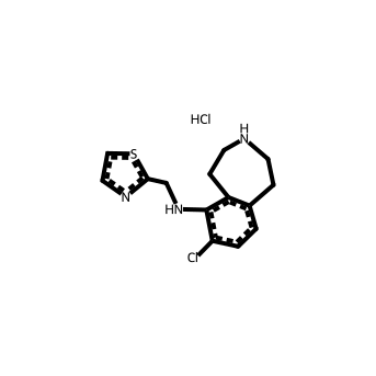 Cl.Clc1ccc2c(c1NCc1nccs1)CCNCC2